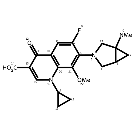 CNC12CC1CN(c1c(F)cc3c(=O)c(C(=O)O)cn(C4CC4)c3c1OC)C2